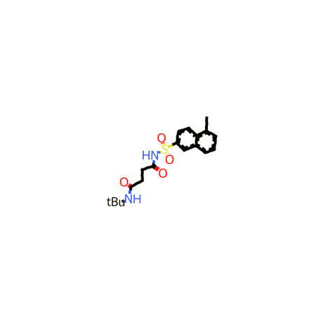 Cc1cccc2cc(S(=O)(=O)NC(=O)CCC(=O)NC(C)(C)C)ccc12